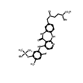 CCN(CCN(C(=O)O)C(C)(C)C)Cc1ccc2c(c1)NC(=O)c1c(Nc3cc(O[Si](C)(C)C(C)(C)C)c(C)cc3F)ccnc1N2